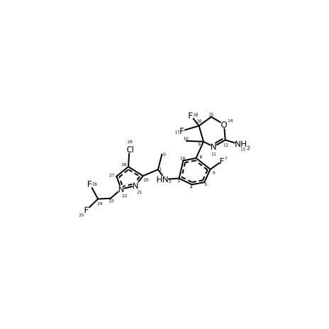 CC(Nc1ccc(F)c(C2(C)N=C(N)OCC2(F)F)c1)c1nn(CC(F)F)cc1Cl